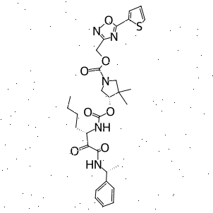 CCCC[C@H](NC(=O)O[C@@H]1CN(C(=O)OCc2noc(-c3cccs3)n2)CC1(C)C)C(=O)C(=O)N[C@H](C)c1ccccc1